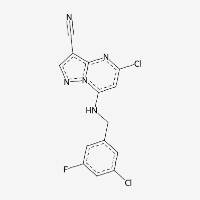 N#Cc1cnn2c(NCc3cc(F)cc(Cl)c3)cc(Cl)nc12